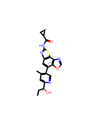 CC[C@H](O)c1cc(C)c(-c2cc3nc(NC(=O)C4CC4)sc3c3ncoc23)cn1